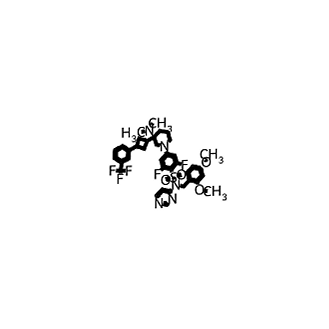 COc1ccc(CN(c2ccncn2)S(=O)(=O)c2c(F)cc(N3CCC[C@](C4CC(c5cccc(C(F)(F)F)c5)C4)(N(C)C)C3)cc2F)c(OC)c1